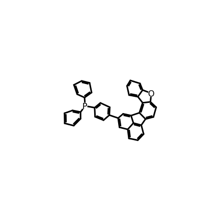 c1ccc(P(c2ccccc2)c2ccc(-c3cc4c5c(cccc5c3)-c3ccc5oc6ccccc6c5c3-4)cc2)cc1